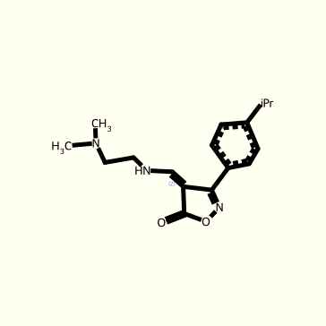 CC(C)c1ccc(C2=NOC(=O)/C2=C\NCCN(C)C)cc1